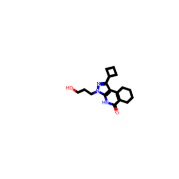 O=c1[nH]c2c(c(C3CCC3)nn2CCCO)c2c1CCCC2